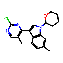 Cc1ccc2c(-c3nc(Cl)ncc3C)cn(C3CCCCO3)c2c1